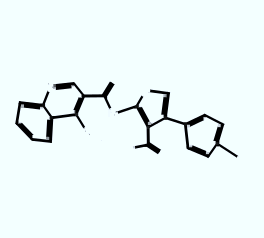 Nc1c(C(=O)Nc2scc(-c3ccc(Cl)cc3)c2C(=O)O)cnc2ccccc12